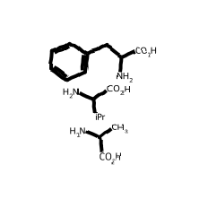 CC(C)C(N)C(=O)O.CC(N)C(=O)O.NC(Cc1ccccc1)C(=O)O